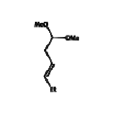 CCC=CCC(OC)OC